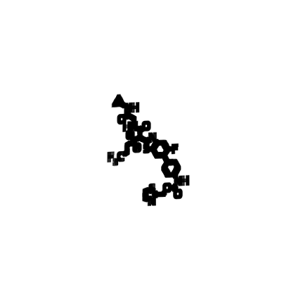 O=C(CNC(=O)C(c1nc2cc(F)c(-c3ccc(NC(=O)OCc4nccs4)cc3)cc2s1)S(=O)(=O)CCC(F)(F)F)NC1CC1